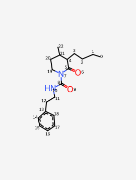 CCCCC1C(=O)N(C(=O)NCCc2ccccc2)CCC1C